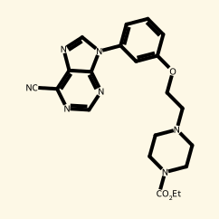 CCOC(=O)N1CCN(CCOc2cccc(-n3cnc4c(C#N)ncnc43)c2)CC1